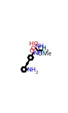 COC(C)(C(F)F)[C@H](NC(=O)c1ccc(C#Cc2ccccc2N)cc1)C(=O)NO